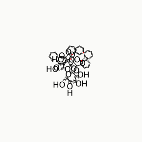 O=C(OC(C(=O)c1ccccc1)(C(=O)c1ccccc1)[C@@]1(O[C@H]2O[C@H](CO)[C@@H](O)[C@H](O)[C@H]2O)O[C@H](CO)[C@](O)(C(=O)c2ccccc2)[C@@]1(OC(=O)c1ccccc1)C(=O)c1ccccc1)c1ccccc1